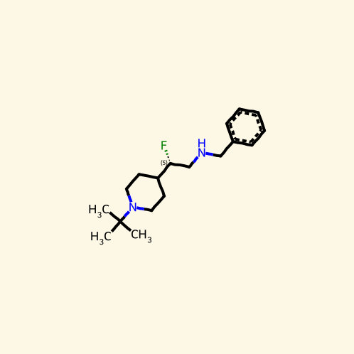 CC(C)(C)N1CCC([C@H](F)CNCc2ccccc2)CC1